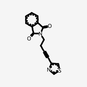 O=C1c2ccccc2C(=O)N1CCC#Cc1cscn1